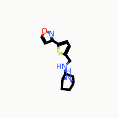 c1cc(-c2ccc(CNC3CC4CCC3N4)s2)no1